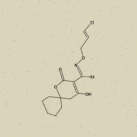 CCC(=NOCC=CCl)C1=C(O)CC2(CCCCC2)OC1=O